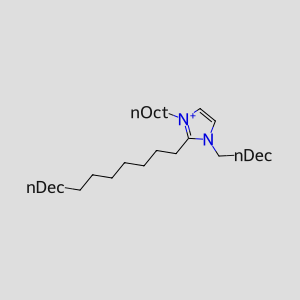 CCCCCCCCCCCCCCCCCc1n(CCCCCCCCCCC)cc[n+]1CCCCCCCC